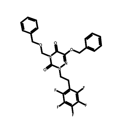 O=c1c(OCc2ccccc2)nn(CCc2c(F)c(F)c(F)c(F)c2F)c(=O)n1COCc1ccccc1